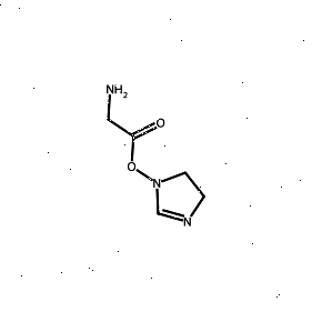 NCC(=O)ON1C=NCC1